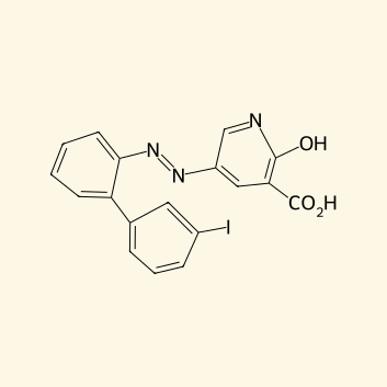 O=C(O)c1cc(N=Nc2ccccc2-c2cccc(I)c2)cnc1O